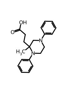 CC1(CCC(=O)O)CN(c2ccccc2)CCN1c1ccccc1